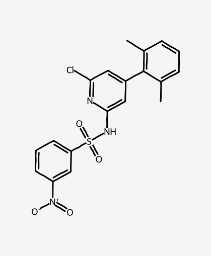 Cc1cccc(C)c1-c1cc(Cl)nc(NS(=O)(=O)c2cccc([N+](=O)[O-])c2)c1